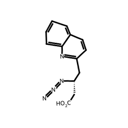 [N-]=[N+]=N[C@@H](CC(=O)O)Cc1ccc2ccccc2n1